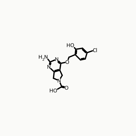 Nc1nc2c(c(OCc3ccc(Cl)cc3O)n1)CN(C(=O)O)C2